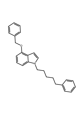 c1ccc(CCCCCn2ccc3c(OCc4ccccc4)cccc32)cc1